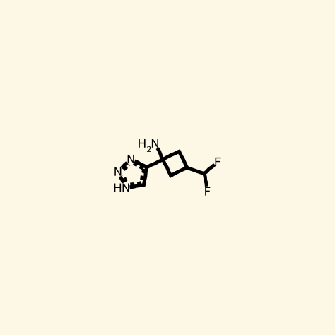 NC1(c2c[nH]nn2)CC(C(F)F)C1